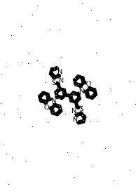 c1ccc2c(c1)Oc1ccccc1N2c1cc(-c2cc(-c3nc4ncccc4s3)cc(N3c4ccccc4Oc4ccccc43)c2)cc(-c2nc3ncccc3s2)c1